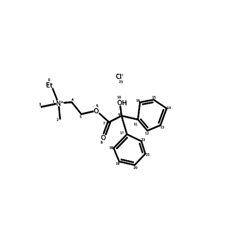 CC[N+](C)(C)CCOC(=O)C(O)(c1ccccc1)c1ccccc1.[Cl-]